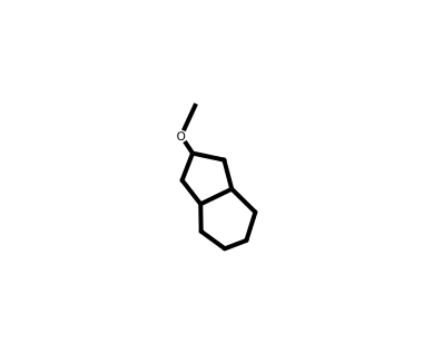 COC1CC2CCCCC2C1